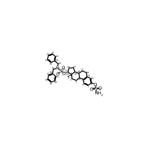 C[C@]12CCC3c4ccc(OS(N)(=O)=O)cc4CCC3C1CC[C@@H]2OS(=O)(=O)N(Cc1ccccc1)Cc1ccccc1